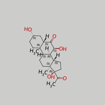 CC(=O)[C@@]1(O)CC[C@H]2[C@@H]3[C@H](O)C(=O)[C@H]4C[C@@H](O)CC[C@]4(C)[C@H]3CC[C@@]21C